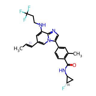 C/C=C/c1cc(NCCC(F)(F)F)c2ncc(-c3ccc(C(=O)NC4C[C@@H]4F)c(C)c3)n2c1